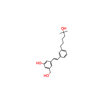 CC(C)(O)CCCCc1cccc(C=Cc2cc(O)cc(CO)c2)c1